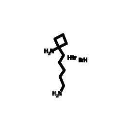 Br.Br.NCCCCCC1(N)CCC1